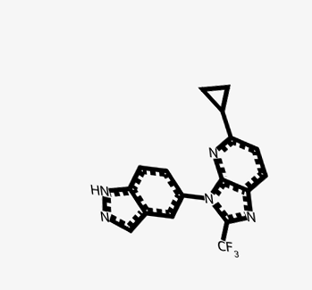 FC(F)(F)c1nc2ccc(C3CC3)nc2n1-c1ccc2[nH]ncc2c1